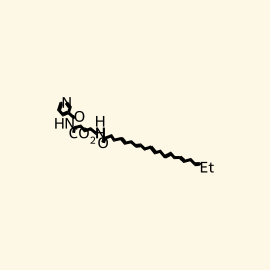 CCC=CCC=CCC=CCC=CCC=CCC=CCCC(=O)NCCCCC(NC(=O)c1cccnc1)C(=O)O